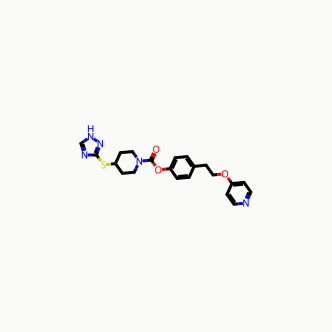 O=C(Oc1ccc(CCOc2ccncc2)cc1)N1CCC(Sc2nc[nH]n2)CC1